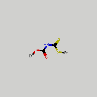 CCOC(=O)NC(=S)SCC